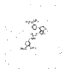 COc1ccc(CNC(=O)/C=C/c2c[nH]c3nccc(-c4cccc(N(C)C)c4)c23)cc1OC